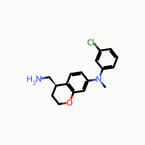 CN(c1cccc(Cl)c1)c1ccc2c(c1)OCC[C@H]2CN